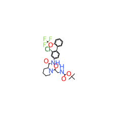 CC(C)(C)OC(=O)NCC(=O)N1CCCCC1C(=O)Nc1ccc(-c2ccccc2OC(F)(F)F)c(Cl)c1